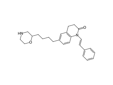 O=C1CCc2cc(CCCCC3CNCCO3)ccc2N1C=Cc1ccccc1